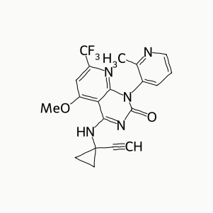 C#CC1(Nc2nc(=O)n(-c3cccnc3C)c3nc(C(F)(F)F)cc(OC)c23)CC1